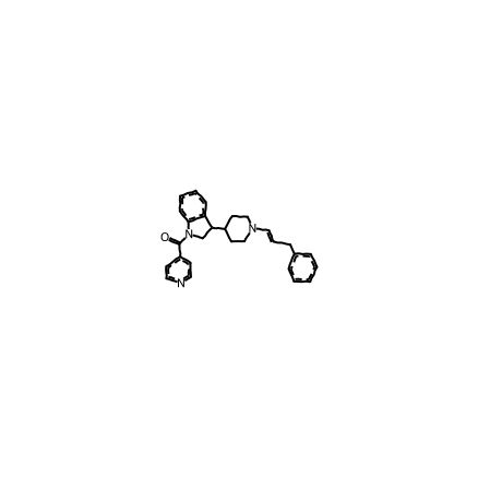 O=C(c1ccncc1)N1CC(C2CCN(/C=C/Cc3ccccc3)CC2)c2ccccc21